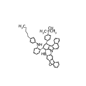 CCCCCc1ccc(Nc2ccccc2-c2cc(-c3ccc(C(C)(C)C)cc3)c3c4c5ccccc5ccc4n4c3c2Bc2cc3oc5ccccc5c3cc2-4)cc1